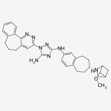 CO[C@@H]1C2CC1N([C@@H]1CCc3ccc(Nc4nc(N)n(-c5cc6c(nn5)-c5ccccc5CCC6)n4)cc3CC1)C2